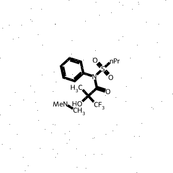 CCCS(=O)(=O)N(C(=O)C(C)(O)C(F)(F)F)c1ccccc1.CNC